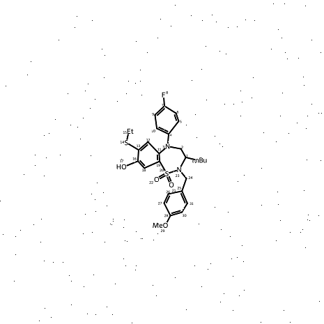 CCCCC1CN(c2ccc(F)cc2)c2cc(SCC)c(O)cc2S(=O)(=O)N1Cc1ccc(OC)cc1